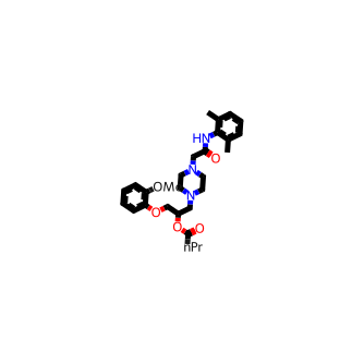 CCCC(=O)OC(COc1ccccc1OC)CN1CCN(CC(=O)Nc2c(C)cccc2C)CC1